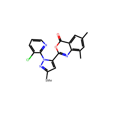 CSc1cc(-c2nc3c(C)cc(C)cc3c(=O)o2)n(-c2ncccc2Cl)n1